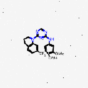 COc1ccc(Nc2ncnc(N3CCCc4ccc(C(F)(F)F)cc43)n2)cc1OC